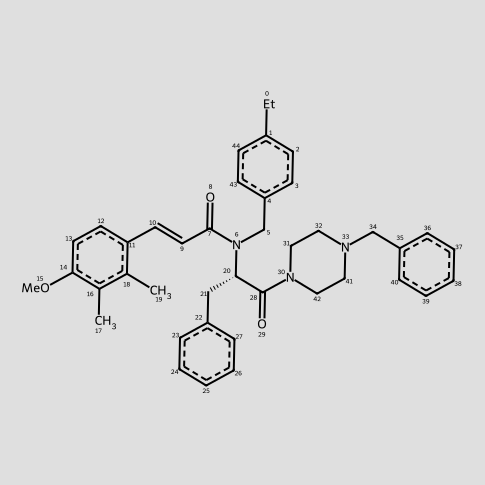 CCc1ccc(CN(C(=O)/C=C/c2ccc(OC)c(C)c2C)[C@@H](Cc2ccccc2)C(=O)N2CCN(Cc3ccccc3)CC2)cc1